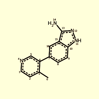 Cc1ccncc1-c1ccc2[nH]nc(N)c2c1